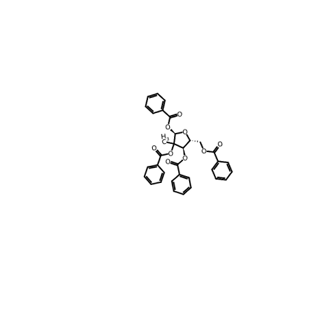 CC1(OC(=O)c2ccccc2)[C@@H](OC(=O)c2ccccc2)O[C@H](COC(=O)c2ccccc2)[C@H]1OC(=O)c1ccccc1